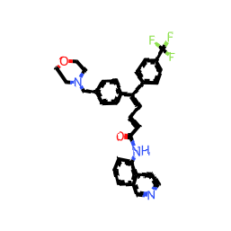 O=C(/C=C/C=C(\c1ccc(CN2CCOCC2)cc1)c1ccc(C(F)(F)F)cc1)Nc1cccc2cnccc12